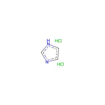 Cl.Cl.c1c[nH]cn1